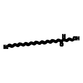 CCC=CCC=CCC=CCC=CCC=CCC=CCCC(=O)NCCCO